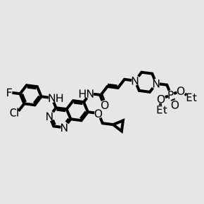 CCOP(=O)(CN1CCN(CC=CC(=O)Nc2cc3c(Nc4ccc(F)c(Cl)c4)ncnc3cc2OCC2CC2)CC1)OCC